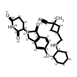 CC1(C#N)CC(CN[C@H]2CCCC[C@@H]2Oc2ccc3c(c2)CN(C2CCC(=O)NC2=O)C3=O)C1